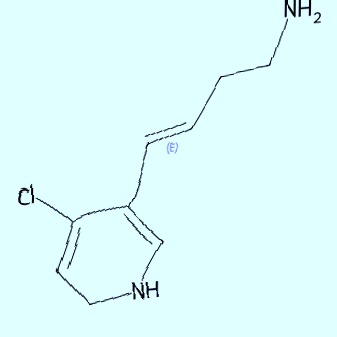 NCC/C=C/C1=CNCC=C1Cl